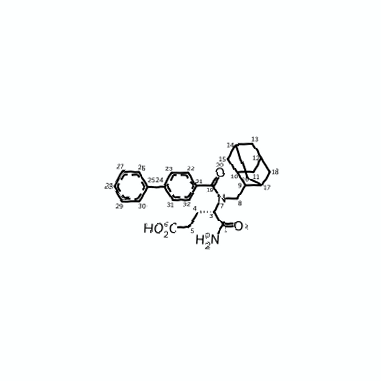 NC(=O)[C@H](CCC(=O)O)N(CC1C2CC3CC(C2)CC1C3)C(=O)c1ccc(-c2ccccc2)cc1